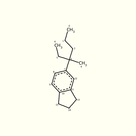 CCCC(C)(CC)c1ccc2c(c1)CCC2